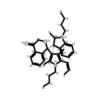 C/C=C\c1c(C)c([C@]2(C3c4ccccc4N(CCCC)C3C)OCC(=O)c3ccccc32)c(C)n1CCCC